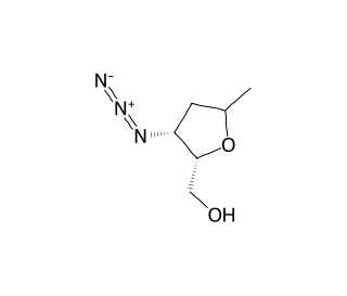 CC1C[C@@H](N=[N+]=[N-])[C@@H](CO)O1